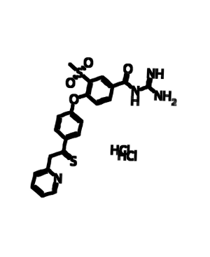 CS(=O)(=O)c1cc(C(=O)NC(=N)N)ccc1Oc1ccc(C(=S)Cc2ccccn2)cc1.Cl.Cl